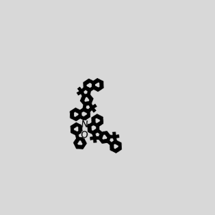 CC1(C)c2ccccc2-c2cc3c(cc21)-c1c(cc(N(c2cc4c(c5ccccc25)-c2cc5c(cc2C4(C)C)-c2c(ccc4ccccc24)C5(C)C)c2cccc4c2oc2ccccc24)c2ccccc12)C3(C)C